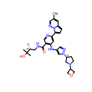 CC(C)(O)[C@H](F)CNC(=O)c1cnc(-c2ccc3cc(C#N)cnn23)cc1Nc1cnn([C@H]2CCN(C3COC3)C2)c1